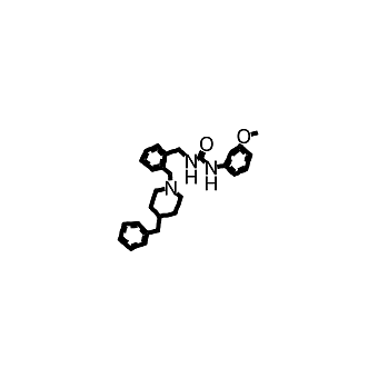 COc1cccc(NC(=O)NCc2ccccc2CN2CCC(Cc3ccccc3)CC2)c1